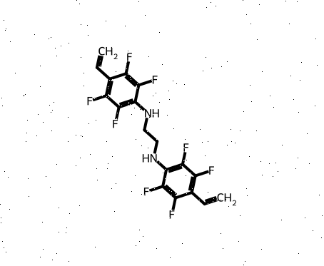 C=Cc1c(F)c(F)c(NCCNc2c(F)c(F)c(C=C)c(F)c2F)c(F)c1F